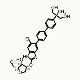 CC(CO)(CO)c1ccc(-c2ccc(-c3cc4nc(O[C@@H]5CO[C@H](CO)[C@H]5O)[nH]c4cc3Cl)cc2)cc1